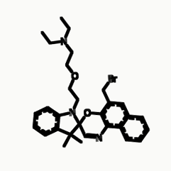 CCN(CC)CCOCCN1c2ccccc2C(C)(C)C12C=Nc1c(c(CBr)cc3ccccc13)O2